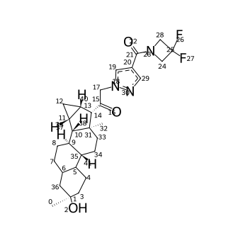 C[C@@]1(O)CCC2C(CC[C@H]3[C@@H]4[C@@H]5C[C@@H]5[C@H](C(=O)Cn5cc(C(=O)N6CC(F)(F)C6)cn5)[C@@]4(C)CC[C@H]23)C1